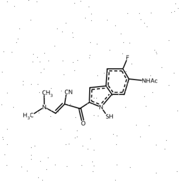 CC(=O)Nc1cc2c(cc1F)cc(C(=O)/C(C#N)=C/N(C)C)n2S